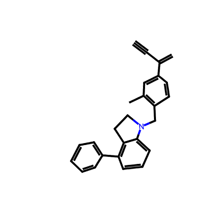 C#CC(=C)c1ccc(CN2CCc3c(-c4ccccc4)cccc32)c(C)c1